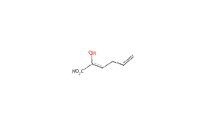 C=CCC=C(O)C(=O)O